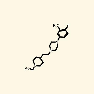 CC(=O)CN1CCC(CCN2CCN(c3ccc(F)c(C(F)(F)F)c3)CC2)CC1